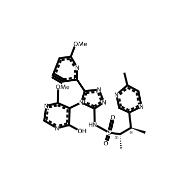 COc1cc#cc(-c2nnc(NS(=O)(=O)[C@@H](C)[C@H](C)c3cnc(C)cn3)n2-c2c(O)ncnc2OC)n1